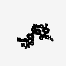 COc1cc(N(C)C(=O)c2ccc3ncc(-c4ccc(N(OC)C(N)=O)nc4)n3c2)ccc1F